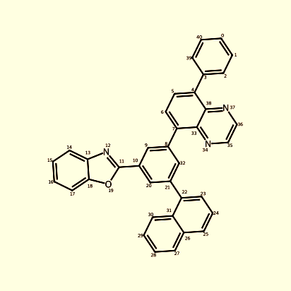 c1ccc(-c2ccc(-c3cc(-c4nc5ccccc5o4)cc(-c4cccc5ccccc45)c3)c3nccnc23)cc1